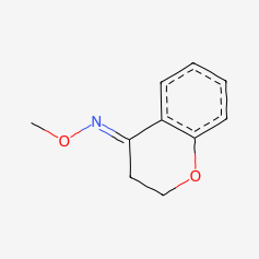 CON=C1CCOc2ccccc21